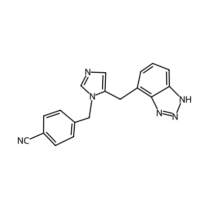 N#Cc1ccc(Cn2cncc2Cc2cccc3[nH]nnc23)cc1